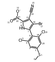 CSc1cc(Cl)c(-c2[nH]c([N+](=O)[O-])c(C#N)c2Br)c(Cl)c1